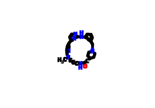 CN1CCCNC(=O)CC2CCN(CC2)Cc2cccc(c2)Nc2nccc(n2)-c2ccc1nc2